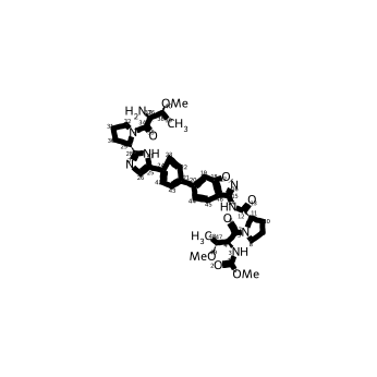 COC(=O)N[C@H](C(=O)N1CCC[C@H]1C(=O)Nc1noc2cc(-c3ccc(-c4cnc([C@@H]5CCCN5C(=O)[C@@H](N)[C@@H](C)OC)[nH]4)cc3)ccc12)[C@@H](C)OC